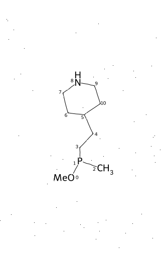 COP(C)CCC1CCNCC1